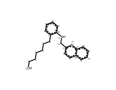 OCCCCCCc1ccccc1NCc1ccc2ccccc2n1